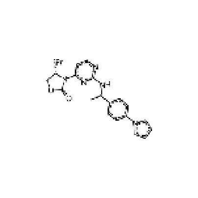 CC(Nc1nccc(N2C(=O)OC[C@@H]2C(C)C)n1)c1ccc(-n2cccc2)cc1